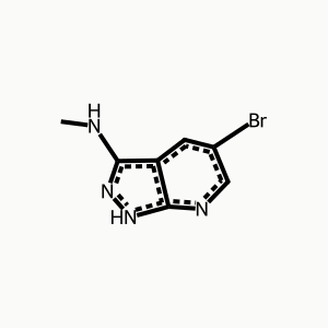 CNc1n[nH]c2ncc(Br)cc12